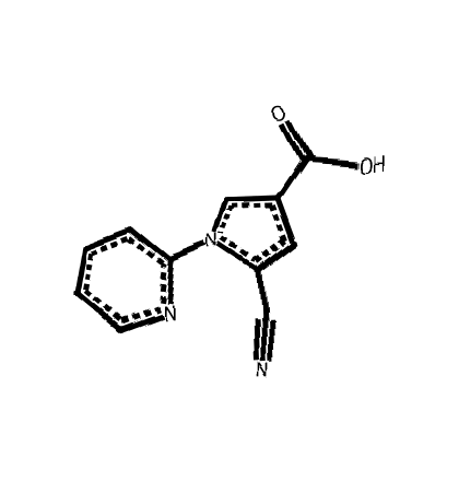 N#Cc1cc(C(=O)O)cn1-c1ccccn1